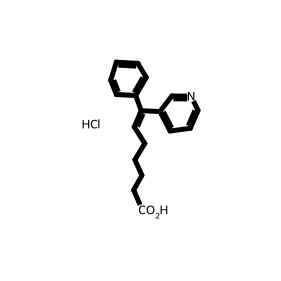 Cl.O=C(O)CCCC/C=C(/c1ccccc1)c1cccnc1